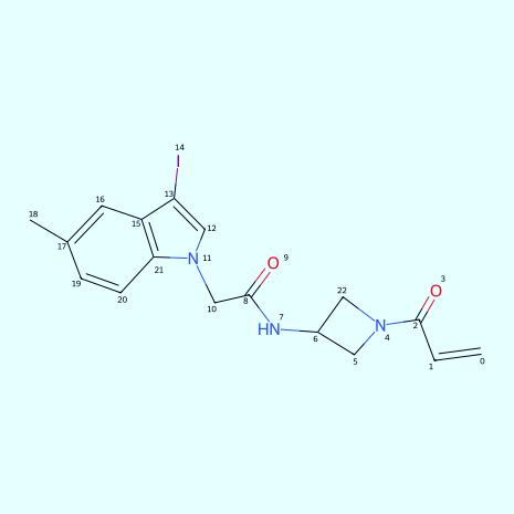 C=CC(=O)N1CC(NC(=O)Cn2cc(I)c3cc(C)ccc32)C1